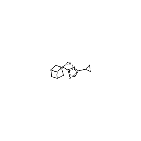 CN1CC2CC(C1)N2Cc1nc(C2CC2)cs1